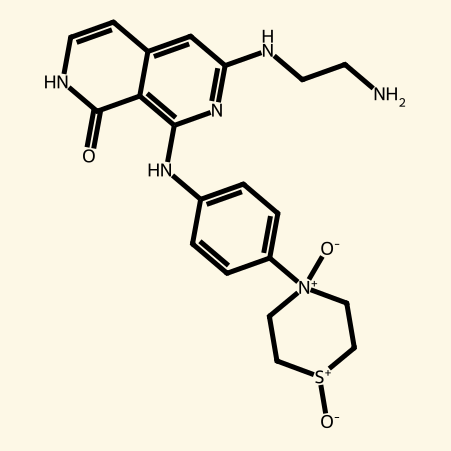 NCCNc1cc2cc[nH]c(=O)c2c(Nc2ccc([N+]3([O-])CC[S+]([O-])CC3)cc2)n1